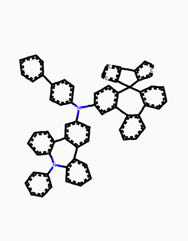 c1ccc(-c2ccc(N(c3ccc4c(c3)-c3ccccc3N(c3ccccc3)c3ccccc3-4)c3ccc4c(c3)-c3ccccc3-c3ccccc3C43c4ccccc4-c4ccccc43)cc2)cc1